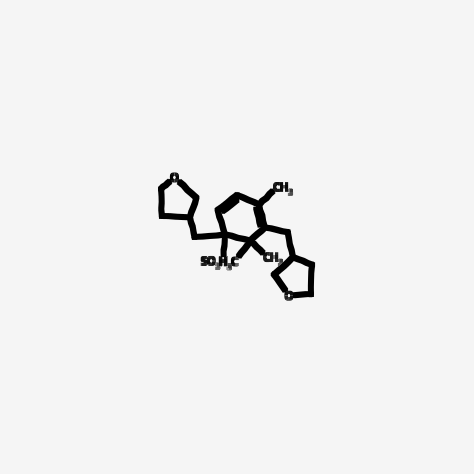 CC1=C(CC2CCOC2)C(C)(C)C(CC2CCOC2)(S(=O)(=O)O)C=C1